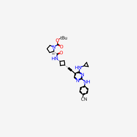 CC(C)(C)OC(=O)N1CCC[C@H]1C(=O)N[C@H]1C[C@@H](C#Cc2cnc(Nc3ccc(C#N)cc3)nc2NC2CC2)C1